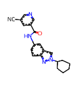 N#Cc1cncc(C(=O)Nc2ccc3nn(C4CCCCC4)cc3c2)c1